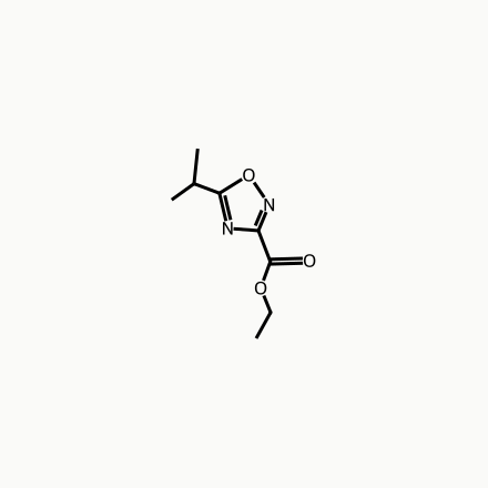 CCOC(=O)c1noc(C(C)C)n1